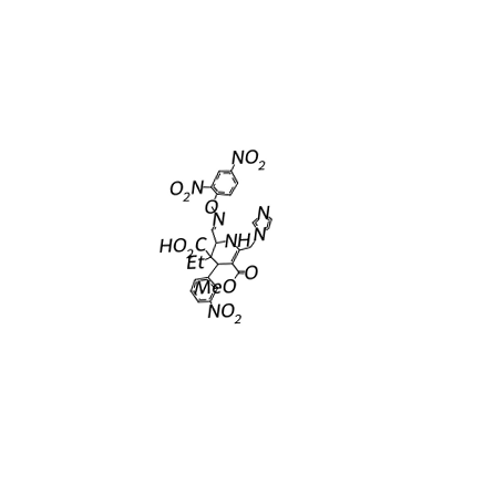 CCC1(C(=O)O)C(C=NOc2ccc([N+](=O)[O-])cc2[N+](=O)[O-])NC(Cn2ccnc2)=C(C(=O)OC)C1c1cccc([N+](=O)[O-])c1